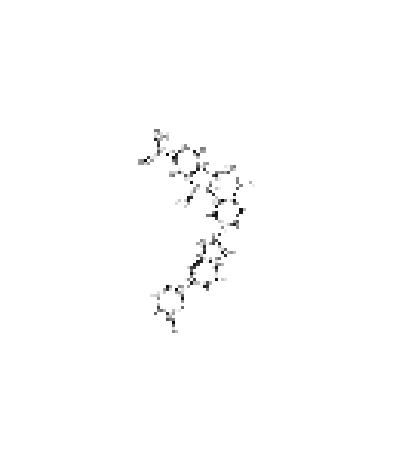 COc1ccc(-c2nc3cc(-c4cccc(C)c4)ccc3o2)cc1N1C(=O)c2ccc(C(=O)O)cc2C1=O